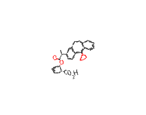 CC(C(=O)Oc1ccccc1C(=O)O)c1ccc2c(=O)c3ccccc3ccc2c1